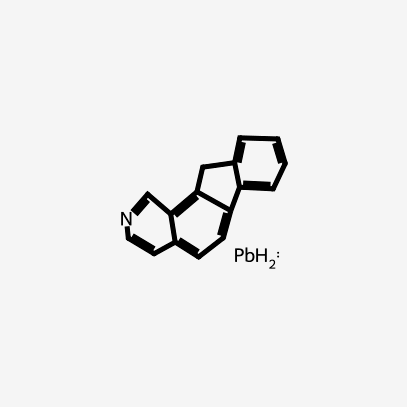 [PbH2].c1ccc2c(c1)Cc1c-2ccc2ccncc12